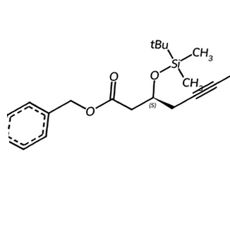 CCC#CC[C@@H](CC(=O)OCc1ccccc1)O[Si](C)(C)C(C)(C)C